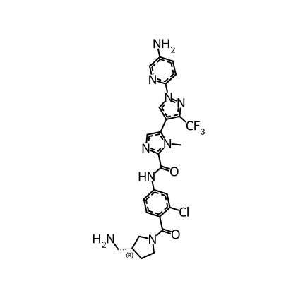 Cn1c(-c2cn(-c3ccc(N)cn3)nc2C(F)(F)F)cnc1C(=O)Nc1ccc(C(=O)N2CC[C@H](CN)C2)c(Cl)c1